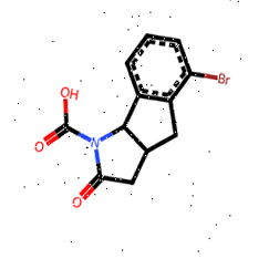 O=C(O)N1C(=O)CC2Cc3c(Br)cccc3C21